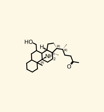 CC(=O)CC[C@@H](C)[C@H]1CC[C@H]2C3C(CO)CC4CCCCC4(C)[C@@]3(N)CC[C@]12C